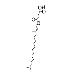 C/C(=C\COC(=O)CCC(=O)O)CCCCCCCCCCCC(C)C